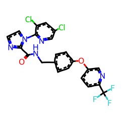 O=C(NCc1ccc(Oc2ccc(C(F)(F)F)nc2)cc1)c1nccn1-c1ncc(Cl)cc1Cl